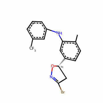 Cc1ccc([C@@H]2CC(Br)=NO2)cc1Nc1cccc(C(F)(F)F)c1